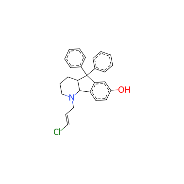 Oc1ccc2c(c1)C(c1ccccc1)(c1ccccc1)C1CCCN(CC=CCl)C21